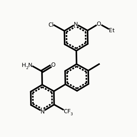 CCOc1cc(-c2cc(-c3c(C(N)=O)ccnc3C(F)(F)F)ccc2C)cc(Cl)n1